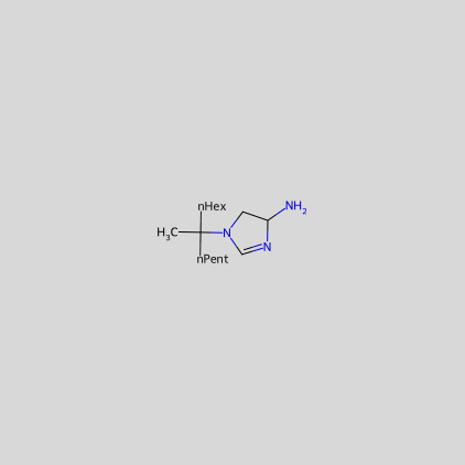 CCCCCCC(C)(CCCCC)N1C=NC(N)C1